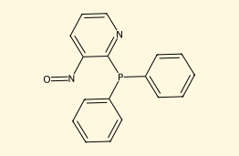 O=Nc1cccnc1P(c1ccccc1)c1ccccc1